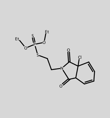 CCOP(=S)(OCC)SCCN1C(=O)C2C=CC=CC2(Cl)C1=O